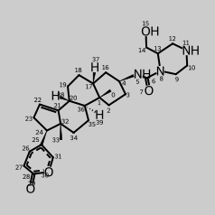 C[C@]12CC[C@H](NC(=O)N3CCNCC3CO)C[C@H]1CC[C@H]1C3=CC[C@H](c4ccc(=O)oc4)[C@@]3(C)CC[C@@H]12